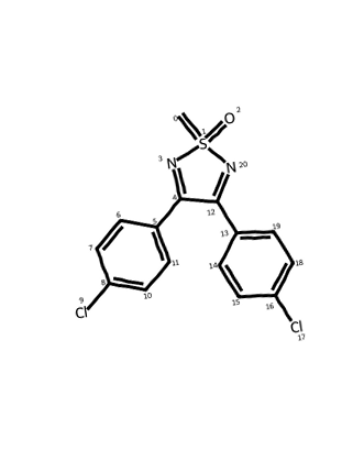 C=S1(=O)N=C(c2ccc(Cl)cc2)C(c2ccc(Cl)cc2)=N1